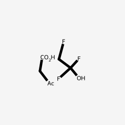 CC(=O)CC(=O)O.OC(F)(F)CF